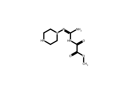 COC(=O)C(=O)NC(N)=NN1CCNCC1